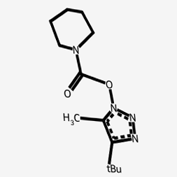 Cc1c(C(C)(C)C)nnn1OC(=O)N1CCCCC1